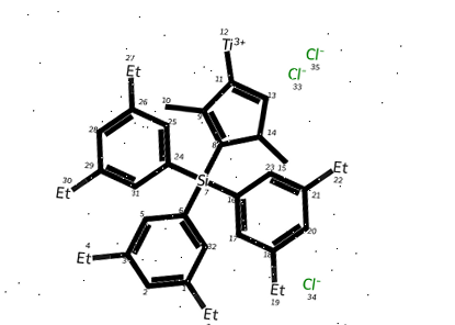 CCc1cc(CC)cc([Si](C2=C(C)[C]([Ti+3])=CC2C)(c2cc(CC)cc(CC)c2)c2cc(CC)cc(CC)c2)c1.[Cl-].[Cl-].[Cl-]